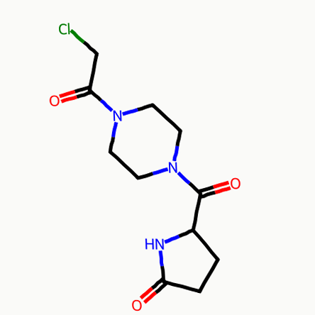 O=C1CCC(C(=O)N2CCN(C(=O)CCl)CC2)N1